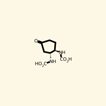 O=C1CC[C@@H](NC(=O)O)[C@H](NC(=O)O)C1